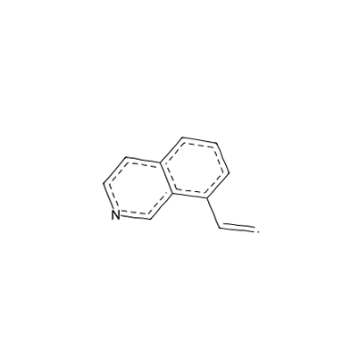 [CH]=Cc1cccc2ccncc12